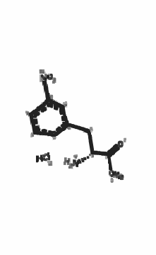 COC(=O)[C@H](N)Cc1cccc([N+](=O)[O-])c1.Cl